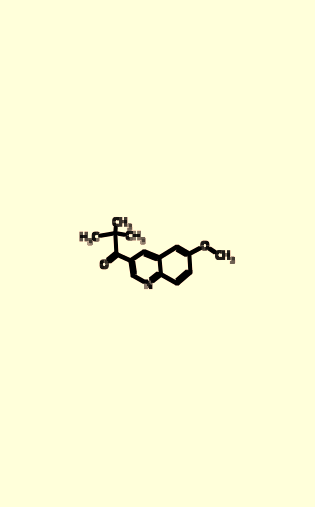 COc1ccc2ncc(C(=O)C(C)(C)C)cc2c1